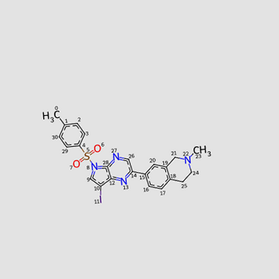 Cc1ccc(S(=O)(=O)n2cc(I)c3nc(-c4ccc5c(c4)CN(C)CC5)cnc32)cc1